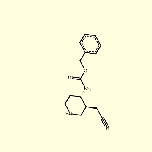 N#CC[C@H]1CNCC[C@@H]1NC(=O)OCc1ccccc1